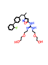 CC(Cc1ccc(-c2ccccc2F)cc1)c1cc(NC(=NCCOCCO)NCCOCCO)on1